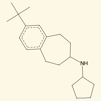 CC(C)(C)c1ccc2c(c1)CCC(NC1CCCC1)CC2